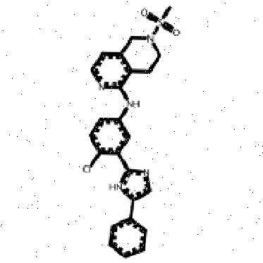 CS(=O)(=O)N1CCc2c(ccnc2Nc2ccc(Cl)c(-c3ncc(-c4ccccc4)[nH]3)c2)C1